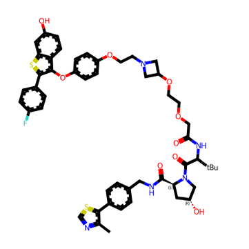 Cc1ncsc1-c1ccc(CNC(=O)[C@@H]2C[C@@H](O)CN2C(=O)C(NC(=O)COCCOC2CN(CCOc3ccc(Oc4c(-c5ccc(F)cc5)sc5cc(O)ccc45)cc3)C2)C(C)(C)C)cc1